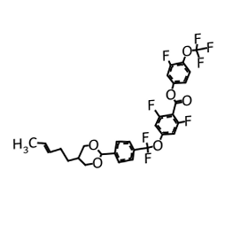 C/C=C/CCC1COC(c2ccc(C(F)(F)Oc3cc(F)c(C(=O)Oc4ccc(OC(F)(F)F)c(F)c4)c(F)c3)cc2)OC1